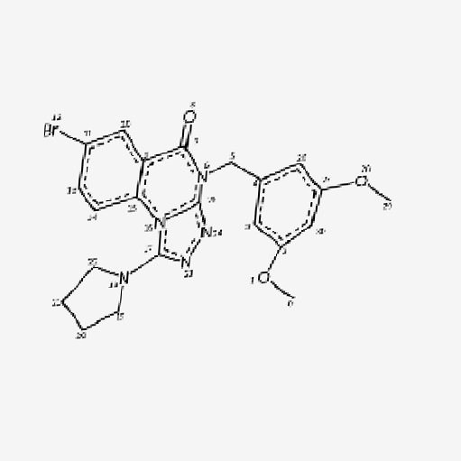 COc1cc(Cn2c(=O)c3cc(Br)ccc3n3c(N4CCCC4)nnc23)cc(OC)c1